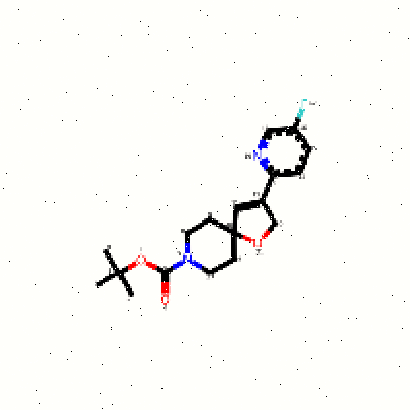 CC(C)(C)OC(=O)N1CCC2(C=C(c3ccc(F)cn3)CO2)CC1